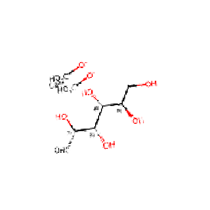 O=C([O-])O.O=C([O-])O.O=C[C@H](O)[C@@H](O)[C@H](O)[C@H](O)CO.[Ca+2]